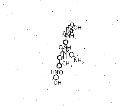 Cc1cc(C(=O)N[C@H]2CC[C@H](O)CC2)ccc1-c1ccc(C[C@@H](NC(=O)[C@H]2CC[C@H](CN)CC2)C(=O)Nc2ccc(-c3nnc(C(F)(F)C(F)(F)C(=O)O)[nH]3)cc2)cc1